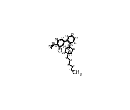 CCCCCCC12CCC(c3ccccc3-c3ccc(C#N)c(Cl)c3)(CC1)CC2